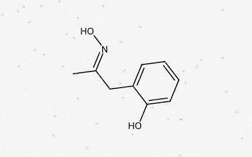 CC(Cc1ccccc1O)=NO